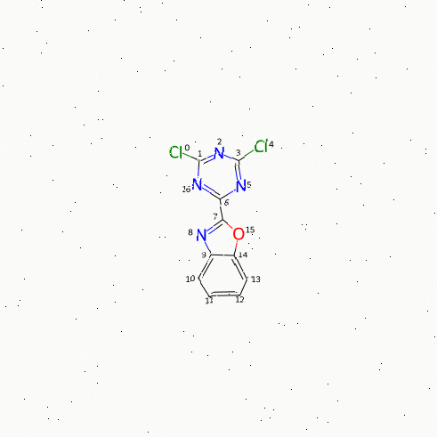 Clc1nc(Cl)nc(-c2nc3ccccc3o2)n1